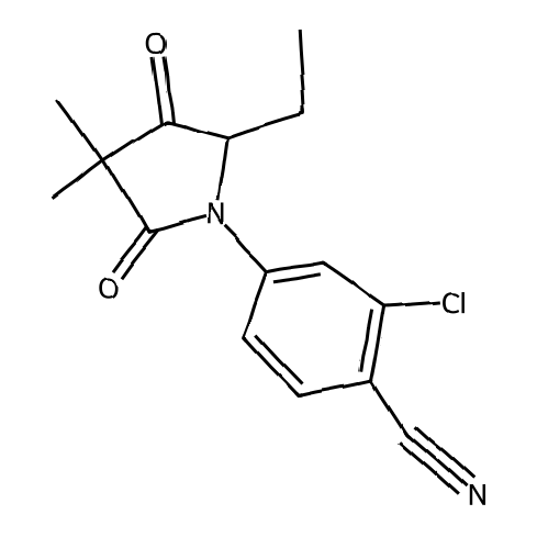 CCC1C(=O)C(C)(C)C(=O)N1c1ccc(C#N)c(Cl)c1